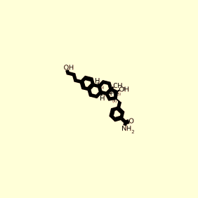 C[C@]12CC[C@@H]3c4ccc(CCCO)cc4CC[C@H]3[C@@H]1C[C@H](Cc1cccc(C(N)=O)c1)[C@@H]2O